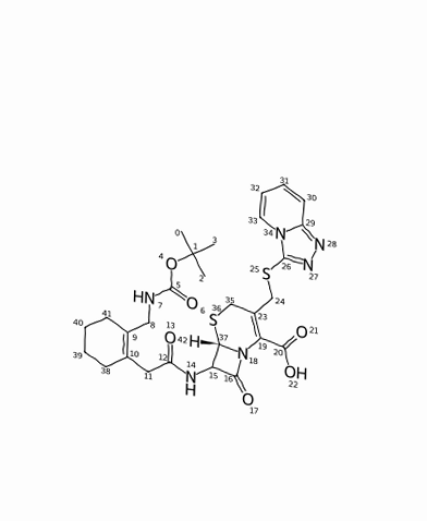 CC(C)(C)OC(=O)NCC1=C(CC(=O)NC2C(=O)N3C(C(=O)O)=C(CSc4nnc5ccccn45)CS[C@@H]23)CCCC1